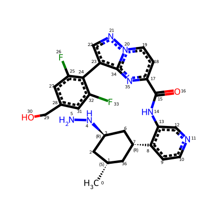 C[C@@H]1C[C@@H](NN)C[C@H](c2ccncc2NC(=O)c2ccn3ncc(-c4c(F)cc(CO)cc4F)c3n2)C1